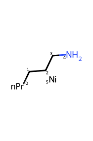 CCCCCCN.[Ni]